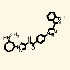 CNC1CCCCC(n2cc(NC(=O)c3ccc(-n4cc(-c5n[nH]c6ccccc56)nn4)cc3)cn2)C1